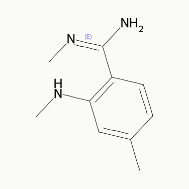 C/N=C(/N)c1ccc(C)cc1NC